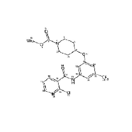 CC(C)(C)OC(=O)N1CCC(Oc2cc(NC(=O)c3cccnc3Cl)cc(C(F)(F)F)c2)CC1